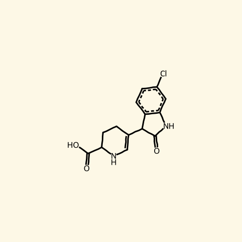 O=C(O)C1CCC(C2C(=O)Nc3cc(Cl)ccc32)=CN1